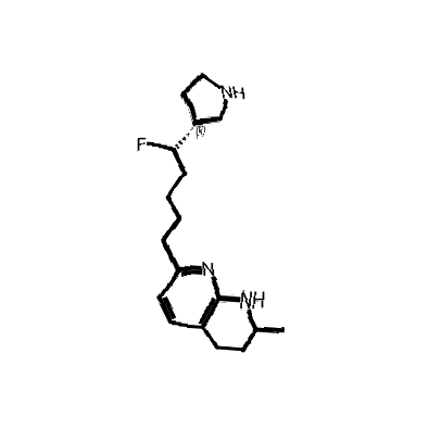 CC1CCc2ccc(CCCCC(F)[C@@H]3CCNC3)nc2N1